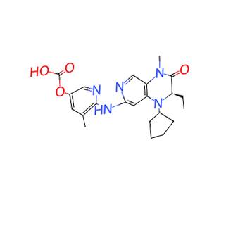 CC[C@@H]1C(=O)N(C)c2cnc(Nc3ncc(OC(=O)O)cc3C)cc2N1C1CCCC1